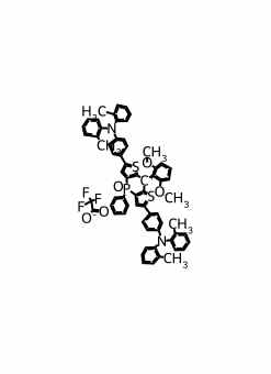 COc1cccc(OC)c1[C+]1c2sc(-c3ccc(N(c4ccccc4C)c4ccccc4C)cc3)cc2P(=O)(c2ccccc2)c2cc(-c3ccc(N(c4ccccc4C)c4ccccc4C)cc3)sc21.O=C([O-])C(F)(F)F